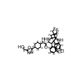 O=C(NC1CCC(c2nnc(CO)o2)CC1)[C@@H]1NC2(CC(CF)(CF)C2)[C@@]2(C(=O)Nc3cc(Cl)ccc32)[C@H]1c1cccc(Cl)c1F